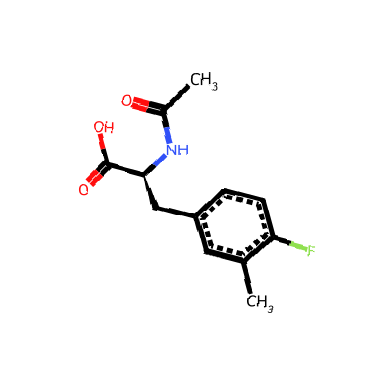 CC(=O)N[C@@H](Cc1ccc(F)c(C)c1)C(=O)O